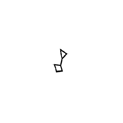 [CH]1CC1C1[CH]CC1